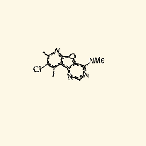 CNc1ncnc2c1oc1nc(C)c(Cl)c(C)c12